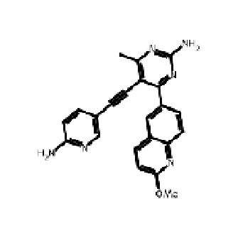 COc1ccc2cc(-c3nc(N)nc(C)c3C#Cc3ccc(N)nc3)ccc2n1